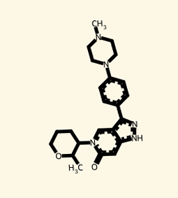 CC1OCCCC1n1cc2c(-c3ccc(N4CCN(C)CC4)cc3)n[nH]c2cc1=O